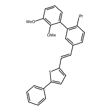 COc1cccc(-c2cc(C=Cc3ccc(-c4ccccc4)s3)ccc2C(C)C)c1OC